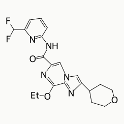 CCOc1nc(C(=O)Nc2cccc(C(F)F)n2)cn2cc(C3CCOCC3)nc12